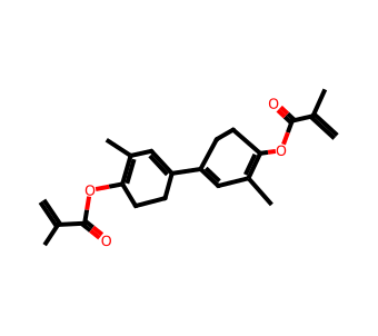 C=C(C)C(=O)OC1=C(C)C=C(C2=CC(C)=C(OC(=O)C(=C)C)CC2)CC1